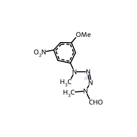 COc1cc(N(C)/N=N\N(C)C=O)cc([N+](=O)[O-])c1